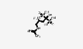 CC(=N)NCC(C)CC(O)(P(=O)(O)O)P(=O)(O)O